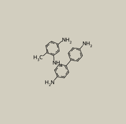 Cc1ccc(N)cc1N.Nc1ccc(-c2ccc(N)cc2)cc1